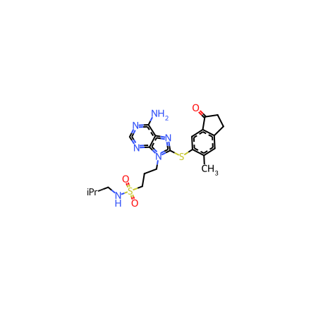 Cc1cc2c(cc1Sc1nc3c(N)ncnc3n1CCCS(=O)(=O)NCC(C)C)C(=O)CC2